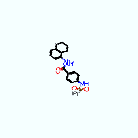 CC(C)S(=O)(=O)Nc1ccc(C(=O)Nc2cccc3c2CCCC3)cc1